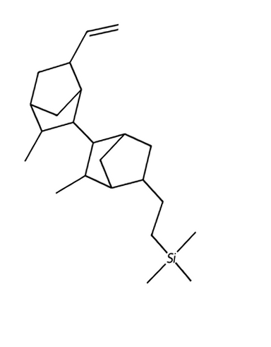 C=CC1CC2CC1C(C1C3CC(CC[Si](C)(C)C)C(C3)C1C)C2C